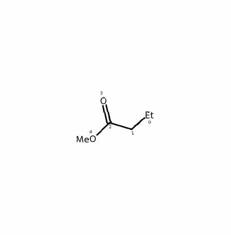 [CH]CCC(=O)OC